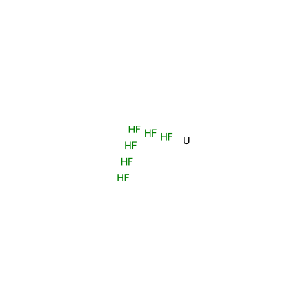 F.F.F.F.F.F.[U]